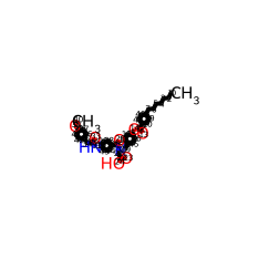 CCCCCCCCc1ccc(C(=O)Oc2ccc(CN(CC(=O)O)C(=O)c3ccc(NC(=O)Cc4ccc(OC)cc4)cc3)cc2)cc1